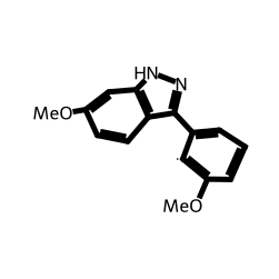 COc1[c]c(-c2n[nH]c3cc(OC)ccc23)ccc1